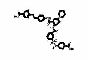 CN(C1CCC(C(=O)OI)CC1)S(=O)(=O)c1cccc(C(=O)Nc2ccc(N3CCCCC3)cc2C(=O)Nc2ccc(CCc3ccc(C(=O)OI)cc3)cc2)c1